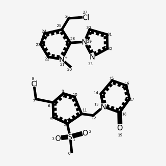 CS(=O)(=O)c1cc(CCl)ccc1Cn1ccccc1=O.C[n+]1cccc(CCl)c1-n1cccn1